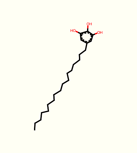 CCCCCCCCCCCCCCCCCc1cc(O)c(O)c(O)c1